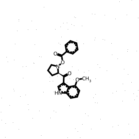 COc1cccc2[nH]cc(C(=O)[C@H]3CCCN3OC(=O)c3ccccc3)c12